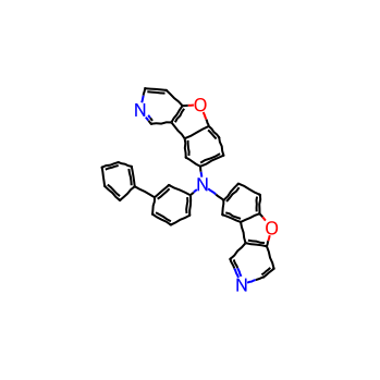 c1ccc(-c2cccc(N(c3ccc4oc5ccncc5c4c3)c3ccc4oc5ccncc5c4c3)c2)cc1